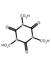 O=C(O)n1c(=O)n(C(=O)O)c(=O)n(C(=O)O)c1=O